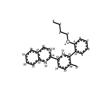 CCCCOc1ccccc1-c1nc(-c2ncc3ccccc3n2)ccc1C